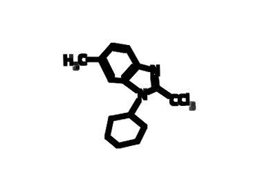 Cc1ccc2nc(C(Cl)(Cl)Cl)n(C3CCCCC3)c2c1